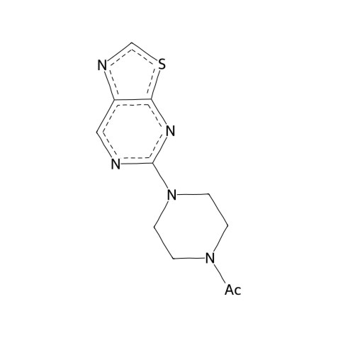 CC(=O)N1CCN(c2ncc3ncsc3n2)CC1